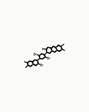 Cc1cc2cc(Br)c(-c3cc(Br)c(-c4cc5cc6cc(C)c(C)cc6cc5cc4I)cc3Br)cc2cc1C